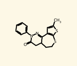 Cc1cc2c(s1)SCCC1CC(=O)N(c3ccccc3)N=C21